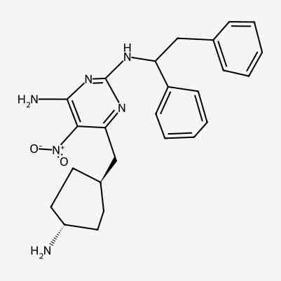 Nc1nc(NC(Cc2ccccc2)c2ccccc2)nc(C[C@H]2CC[C@H](N)CC2)c1[N+](=O)[O-]